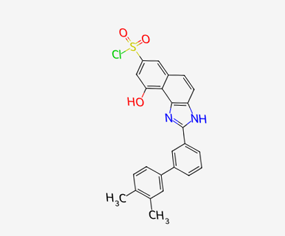 Cc1ccc(-c2cccc(-c3nc4c(ccc5cc(S(=O)(=O)Cl)cc(O)c54)[nH]3)c2)cc1C